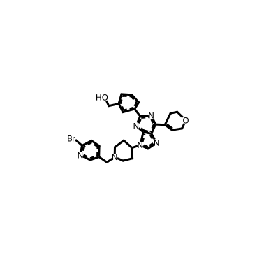 OCc1cccc(-c2nc(C3=CCOCC3)c3ncn(C4CCN(Cc5ccc(Br)nc5)CC4)c3n2)c1